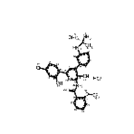 C[C@@](N)(C=O)Nc1cccc(-c2cc(-c3ccc(Cl)cc3O)nc(NC(=O)c3ccccc3OC(F)(F)F)c2C#N)c1.Cl